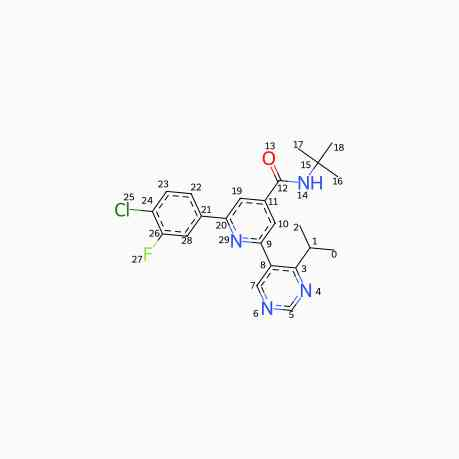 CC(C)c1ncncc1-c1cc(C(=O)NC(C)(C)C)cc(-c2ccc(Cl)c(F)c2)n1